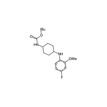 COc1cc(F)ccc1NC1CCC(NC(=O)OC(C)(C)C)CC1